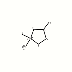 CCC[N+]1(C)CCC(C)C1